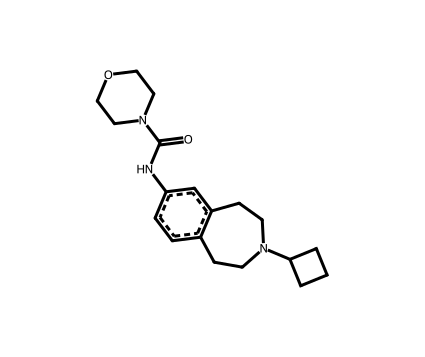 O=C(Nc1ccc2c(c1)CCN(C1CCC1)CC2)N1CCOCC1